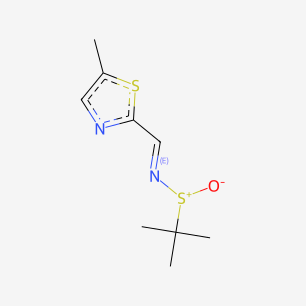 Cc1cnc(/C=N/[S+]([O-])C(C)(C)C)s1